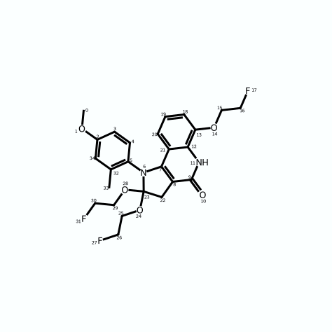 COc1ccc(N2c3c(c(=O)[nH]c4c(OCCF)cccc34)CC2(OCCF)OCCF)c(C)c1